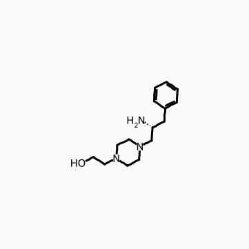 N[C@H](Cc1ccccc1)CN1CCN(CCO)CC1